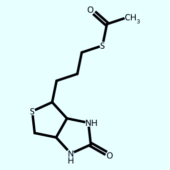 CC(=O)SCCCC1SCC2NC(=O)NC21